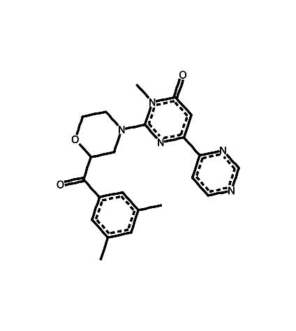 Cc1cc(C)cc(C(=O)C2CN(c3nc(-c4ccncn4)cc(=O)n3C)CCO2)c1